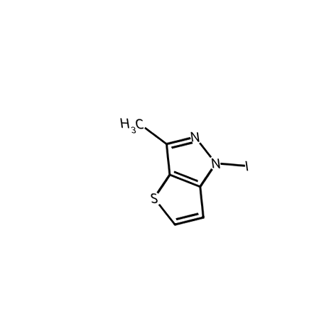 Cc1nn(I)c2ccsc12